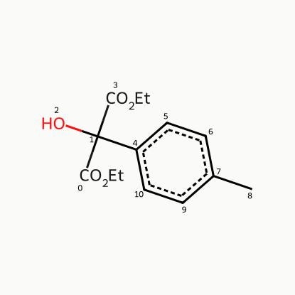 CCOC(=O)C(O)(C(=O)OCC)c1ccc(C)cc1